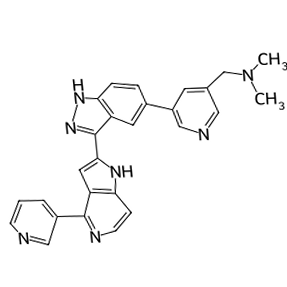 CN(C)Cc1cncc(-c2ccc3[nH]nc(-c4cc5c(-c6cccnc6)nccc5[nH]4)c3c2)c1